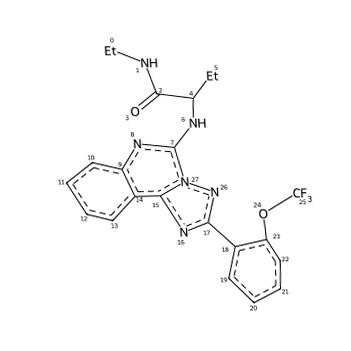 CCNC(=O)C(CC)Nc1nc2ccccc2c2nc(-c3ccccc3OC(F)(F)F)nn12